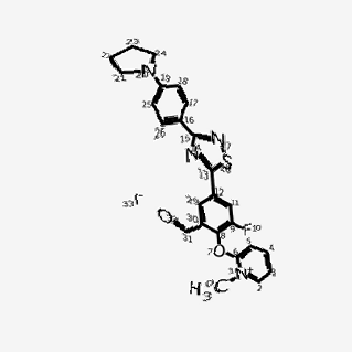 C[n+]1ccccc1Oc1c(F)cc(-c2nc(-c3ccc(N4CCCC4)cc3)ns2)cc1C=O.[I-]